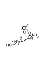 Nc1ncc(C#CCNC(=O)CN2CCC(O)CC2)cc1OCCc1c(Cl)ccc(F)c1Cl